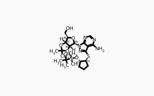 CC1(C)O[C@@H]2[C@H](O1)[C@@H](CO)O[C@H]2n1nc(S[C@H]2CCC[C@@H]2O[Si](C)(C)C(C)(C)C)c2c(N)ncnc21